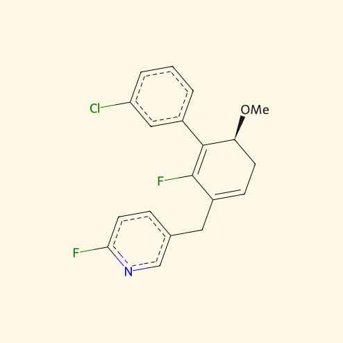 CO[C@H]1CC=C(Cc2ccc(F)nc2)C(F)=C1c1cccc(Cl)c1